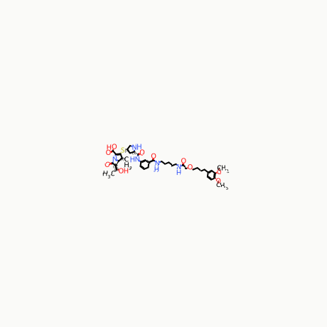 COc1ccc(CCCCOCC(=O)NCCCCCNC(=O)C2C=C(NC(=O)[C@@H]3C[C@H](SC4=C(C(=O)O)N5C(=O)[C@H]([C@@H](C)O)C5[C@H]4C)CN3)C=CC2)cc1OC